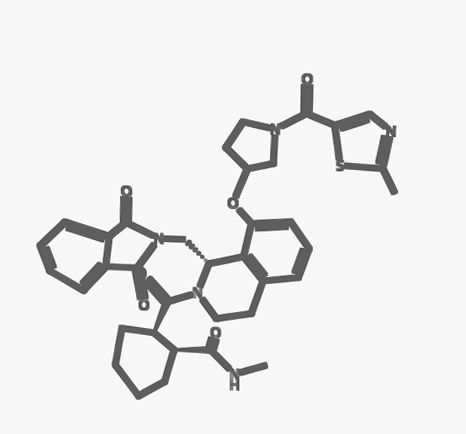 CNC(=O)[C@H]1CCCC[C@H]1C(=O)N1CCc2cccc(OC3CCN(C(=O)c4cnc(C)s4)C3)c2[C@H]1CN1C(=O)c2ccccc2C1=O